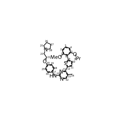 COc1cccc(OC(C)C)c1-c1ccc(-c2nc(Nc3ccc(OCCN4CCCC4)cc3)ncc2C)s1